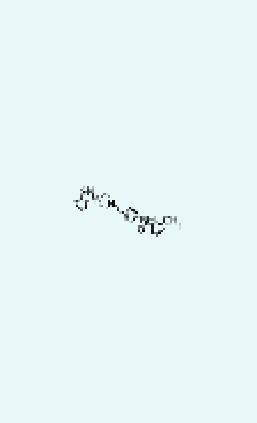 Cc1cccc(C(=O)Nc2ccc(CCN3CCN(c4nsc5ccccc45)CC3)cc2)c1